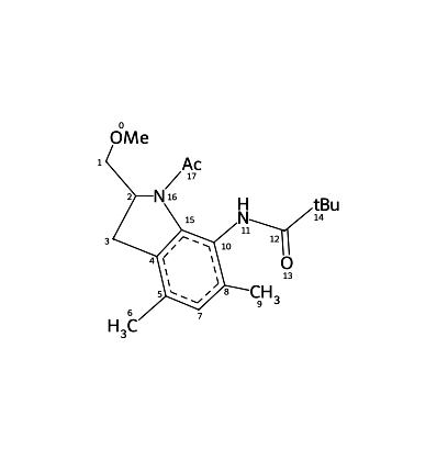 COCC1Cc2c(C)cc(C)c(NC(=O)C(C)(C)C)c2N1C(C)=O